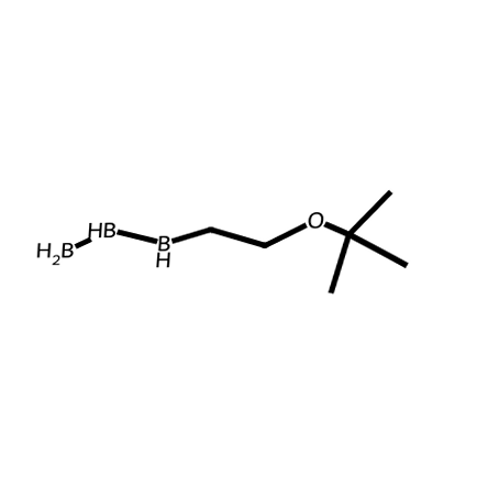 BBBCCOC(C)(C)C